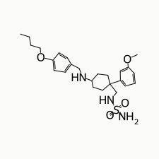 CCCCOc1ccc(CNC2CCC(CNS(N)(=O)=O)(c3cccc(OC)c3)CC2)cc1